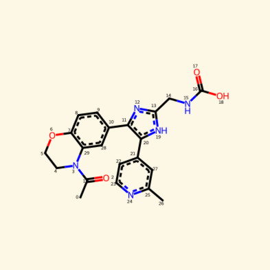 CC(=O)N1CCOc2ccc(-c3nc(CNC(=O)O)[nH]c3-c3ccnc(C)c3)cc21